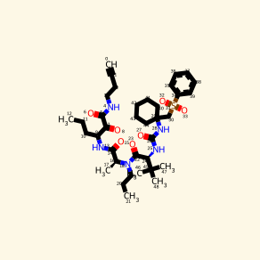 C#CCCNC(=O)C(=O)C(CCC)NC(=O)[C@H](C)N(CCC)C(=O)[C@@H](NC(=O)NC1(CS(=O)(=O)c2ccccc2)CCCCC1)C(C)(C)C